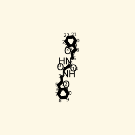 O=C(NCc1cc2ccccc2o1)C(=O)NCc1cc2ccccc2o1